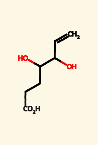 C=CC(O)C(O)CCC(=O)O